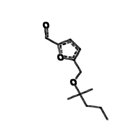 CCCC(C)(C)OCc1ccc(C=O)o1